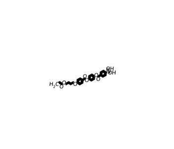 C=CC(=O)OCCCCOc1ccc(C(=O)Oc2ccc(OC(=O)c3ccc(B(O)O)cc3)cc2)cc1